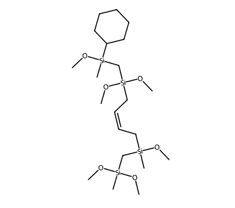 CO[Si](C)(C/C=C\C[Si](C[Si](C)(OC)C1CCCCC1)(OC)OC)C[Si](C)(OC)OC